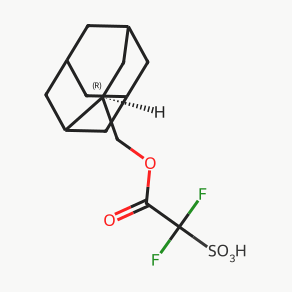 O=C(OC[C@@H]1CC2CC3CC(C2)CC1C3)C(F)(F)S(=O)(=O)O